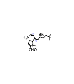 CCC(C)C(/C=C(\C=C/N)C1CC=C(C=O)N1C)CCC(C)F